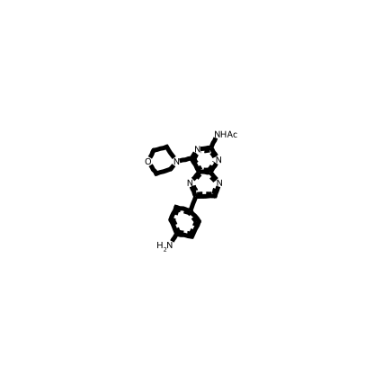 CC(=O)Nc1nc(N2CCOCC2)c2nc(-c3ccc(N)cc3)cnc2n1